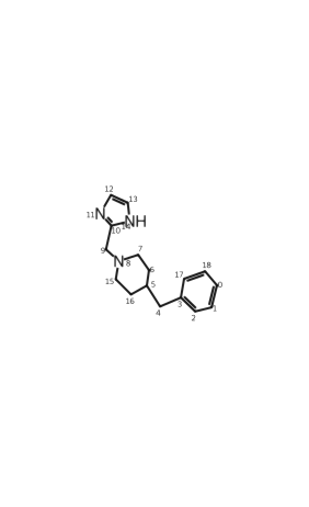 c1ccc(CC2CCN(Cc3ncc[nH]3)CC2)cc1